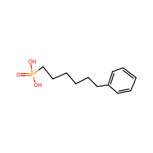 O=P(O)(O)[CH]CCCCCc1ccccc1